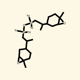 [2H][Si]([2H])(CC(C)C1CCC2(C)OC2C1)O[Si]([2H])([2H])CC(C)C1CCC2(C)OC2C1